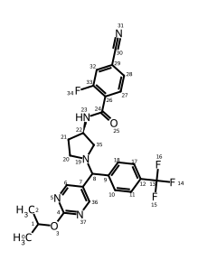 CC(C)Oc1ncc(C(c2ccc(C(F)(F)F)cc2)N2CC[C@@H](NC(=O)c3ccc(C#N)cc3F)C2)cn1